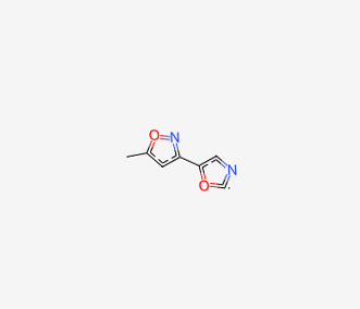 Cc1cc(-c2cn[c]o2)no1